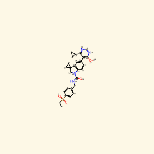 CCS(=O)(=O)c1ccc(CNC(=O)N2CC3(CC3)c3cc(-c4c(OC)ncnc4C4CC4)ccc32)cc1